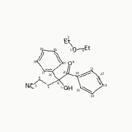 CCOCC.N#CCCC(O)(C(=O)c1ccccc1)c1ccccc1